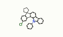 Clc1ccc2c(c1)-c1c(ccc3c4ccccc4n(-c4ccccc4)c13)C21CCCC1